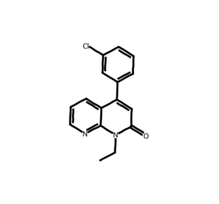 CCn1c(=O)cc(-c2cccc(Cl)c2)c2cccnc21